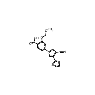 COCOc1cc(-n2cc(C#N)c(-c3cccs3)c2)ccc1C(=O)O